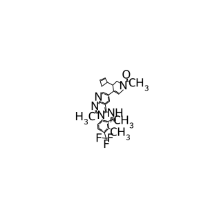 CC(=O)N1CC=C(c2cnc3nc(C)nc(N[C@H](C)c4cccc(C(F)(F)F)c4C)c3c2)C(C2C=CC2)C1